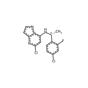 C[C@@H](Nc1cc(Cl)nc2ccnn12)c1ccc(Cl)cc1F